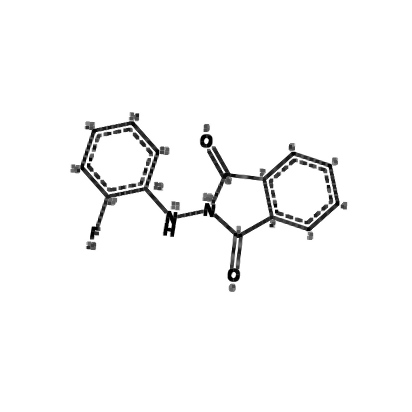 O=C1c2ccccc2C(=O)N1Nc1ccccc1F